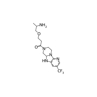 CC(N)COCCC(=O)N1CCN2c3ncc(C(F)(F)F)cc3NC2C1